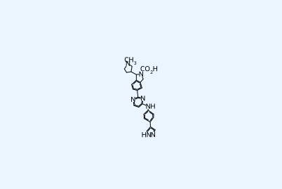 CN1CCC(C2c3ccc(-c4nccc(Nc5ccc(-c6cn[nH]c6)cc5)n4)cc3CN2C(=O)O)C1